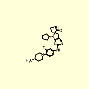 CN1CCN(c2ccc(Nc3ncc4c(n3)N(C3CCCC3)[C@]3(CCNC3=O)C4)cc2F)CC1